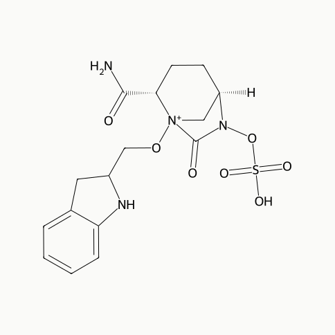 NC(=O)[C@@H]1CC[C@@H]2C[N+]1(OCC1Cc3ccccc3N1)C(=O)N2OS(=O)(=O)O